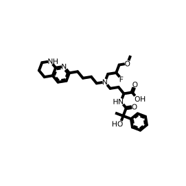 COCC(F)CN(CCCCc1ccc2c(n1)NCCC2)CCC(NC(=O)C(C)(O)c1ccccc1)C(=O)O